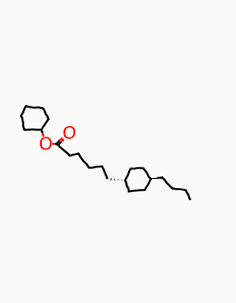 CCCC[C@H]1CC[C@H](CCCCCC(=O)OC2CCCCC2)CC1